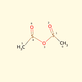 CS(=O)OS(C)=O